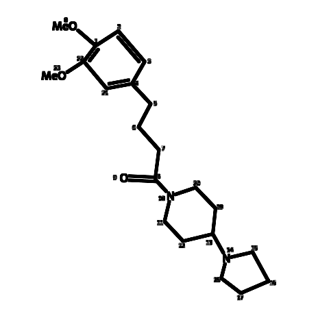 COc1ccc(CCCC(=O)N2CCC(N3CCCC3)CC2)cc1OC